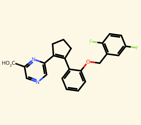 O=C(O)c1cncc(C2=C(c3ccccc3OCc3cc(F)ccc3F)CCC2)n1